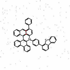 c1ccc(-c2ccc(N(c3ccc(-c4cccc5c4sc4ccccc45)cc3)c3c(-c4cccc5ccccc45)c4ccccc4c4ccccc34)cc2)cc1